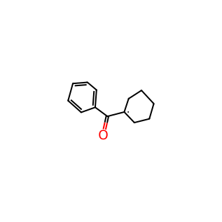 O=C([C]1CCCCC1)c1ccccc1